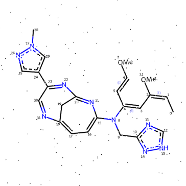 C\C=C(/C=C(\C=C\OC)N(Cc1nc[nH]n1)C1=CC=C2CC(=N1)N=C(c1cnn(C)c1)C=N2)OC